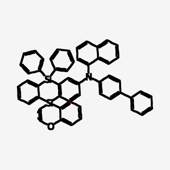 c1ccc(-c2ccc(N(c3ccc4c(c3)[Si](c3ccccc3)(c3ccccc3)c3ccccc3[Si]43c4ccccc4Oc4ccccc43)c3cccc4ccccc34)cc2)cc1